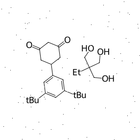 CC(C)(C)c1cc(C2CC(=O)CC(=O)C2)cc(C(C)(C)C)c1.CCC(CO)(CO)CO